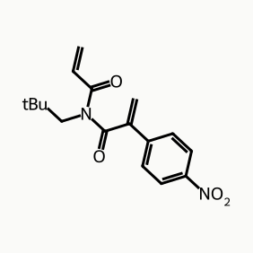 C=CC(=O)N(CC(C)(C)C)C(=O)C(=C)c1ccc([N+](=O)[O-])cc1